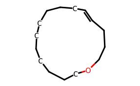 C1=C/CCCOCCCCCCCCCC/1